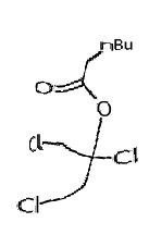 CCCCC(=O)OC(Cl)(Cl)CCl